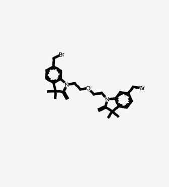 C=C1N(CCOCCN2C(=C)C(C)(C)c3ccc(CBr)cc32)c2cc(CBr)ccc2C1(C)C